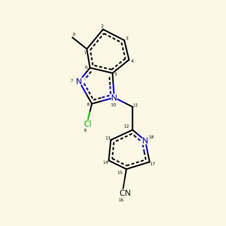 Cc1cccc2c1nc(Cl)n2Cc1ccc(C#N)cn1